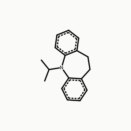 CC(C)N1c2ccccc2CCc2ccccc21